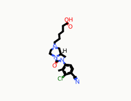 Cc1c(N2C[C@@H]3CN(CCCCCC(=O)O)CCN3C2=O)ccc(C#N)c1Cl